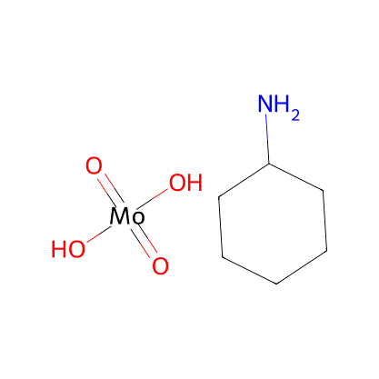 NC1CCCCC1.[O]=[Mo](=[O])([OH])[OH]